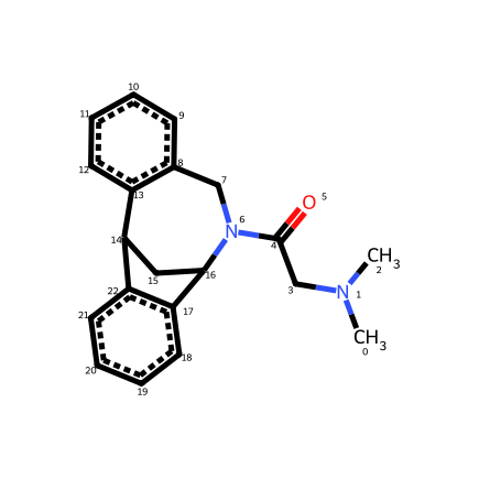 CN(C)CC(=O)N1Cc2ccccc2C2CC1c1ccccc12